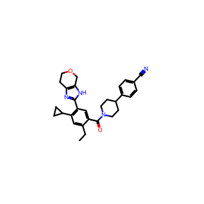 CCc1cc(C2CC2)c(-c2nc3c([nH]2)COCC3)cc1C(=O)N1CCC(c2ccc(C#N)cc2)CC1